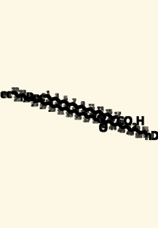 CCCCCCCCCCCCCCCCCCCCCCCCCCCC(=O)O.CCCCCCCCCCCCCCCCCCCCCCCCCCCCCCOC(=O)CCCCCCCCCCCCCCCCCCC